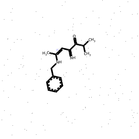 C/C(=C/C(=N)C(=O)C(C)C)NCc1ccccc1